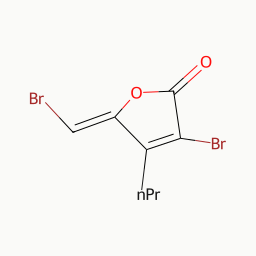 CCCC1=C(Br)C(=O)OC1=CBr